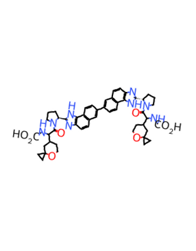 O=C(O)NC(C(=O)N1CCC[C@H]1c1nc2ccc3cc(-c4ccc5c(ccc6nc([C@@H]7CCCN7C(=O)C(NC(=O)O)C7CCOC8(CC8)C7)[nH]c65)c4)ccc3c2[nH]1)C1CCOC2(CC2)C1